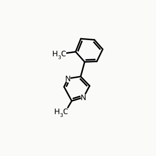 Cc1cnc(-c2ccccc2C)cn1